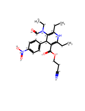 CCC1=C(C(=O)OCCC#N)C(c2ccc([N+](=O)[O-])cc2)C(N(C=O)CC)=C(CC)N1